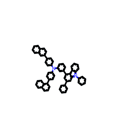 c1ccc(-c2cc(-c3cccc(N(c4ccc(-c5ccc6ccccc6c5)cc4)c4ccc(-c5cccc6ccccc56)cc4)c3)c3c4ccccc4n(-c4ccccc4)c3c2)cc1